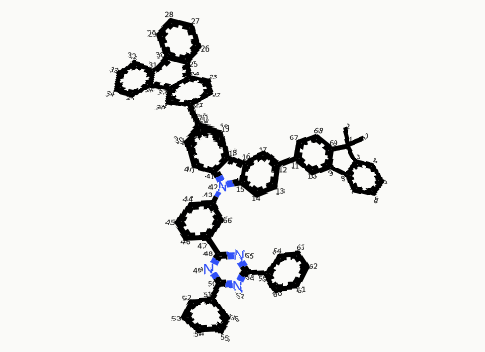 CC1(C)c2ccccc2-c2cc(-c3ccc4c(c3)c3cc(-c5ccc6c7ccccc7c7ccccc7c6c5)ccc3n4-c3cccc(-c4nc(-c5ccccc5)nc(-c5ccccc5)n4)c3)ccc21